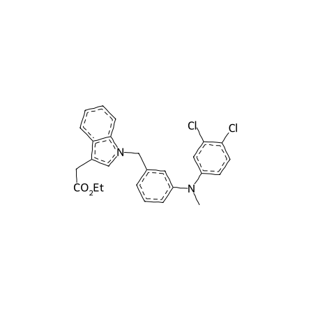 CCOC(=O)Cc1cn(Cc2cccc(N(C)c3ccc(Cl)c(Cl)c3)c2)c2ccccc12